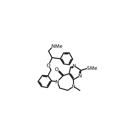 CNCC(OCc1ccccc1N1CCN(C)c2nc(SC)ncc2C1=O)c1ccccc1